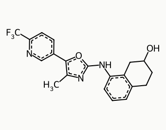 Cc1nc(Nc2cccc3c2CC(O)CC3)oc1-c1ccc(C(F)(F)F)nc1